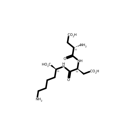 NCCCC[C@H](NC(=O)[C@H](CC(=O)O)NC(=O)[C@@H](N)CC(=O)O)C(=O)O